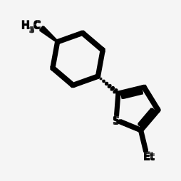 CCc1ccc([C@H]2CC[C@H](C)CC2)s1